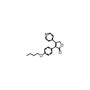 CCCCOc1ccc(C2=C(c3ccncc3)COC2=O)cc1